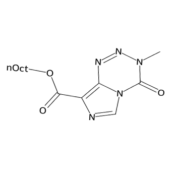 CCCCCCCCOC(=O)c1ncn2c(=O)n(C)nnc12